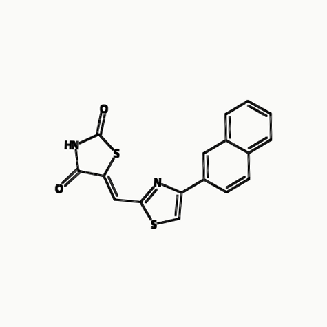 O=C1NC(=O)C(=Cc2nc(-c3ccc4ccccc4c3)cs2)S1